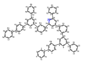 c1ccc(-c2ccc(-c3cc(-c4ccccc4)cc(-c4cccc(-c5cc(-c6ccccc6)nc(-c6cccc(-c7cc(-c8ccccc8)cc(-c8ccc(-c9ccccc9)cc8)c7)c6)c5)c4)c3)cc2)cc1